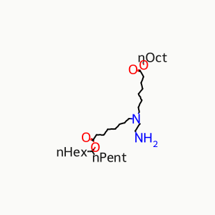 CCCCCCCCOC(=O)CCCCCCCN(CCN)CCCCCCCC(=O)OC(CCCCC)CCCCCC